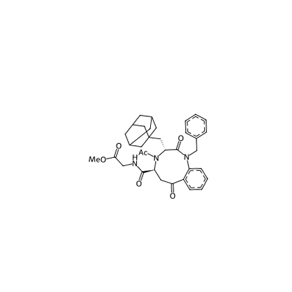 COC(=O)CNC(=O)[C@@H]1CC(=O)c2ccccc2N(Cc2ccccc2)C(=O)[C@@H](CC23CC4CC(CC(C4)C2)C3)N1C(C)=O